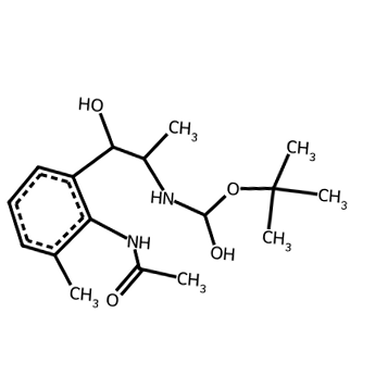 CC(=O)Nc1c(C)cccc1C(O)C(C)NC(O)OC(C)(C)C